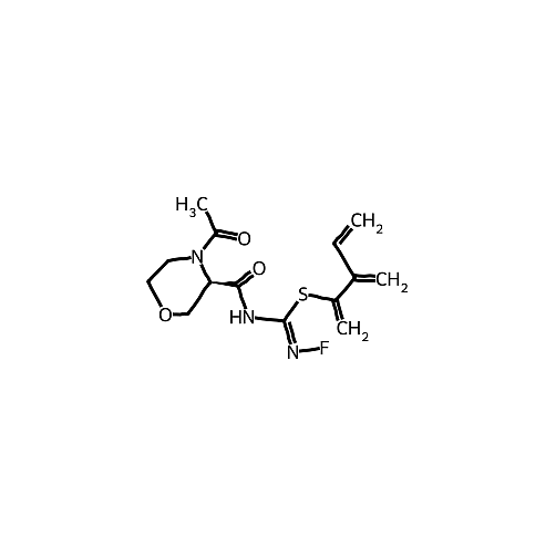 C=CC(=C)C(=C)S/C(=N\F)NC(=O)[C@H]1COCCN1C(C)=O